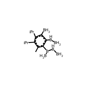 BBB(B)c1c(C)c(C(C)C)c(C(C)C)c(B)c1BB